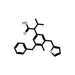 Cc1c(Cc2ccccc2)cc(C(C(=O)O)C(C)C)cc1Cc1ccco1